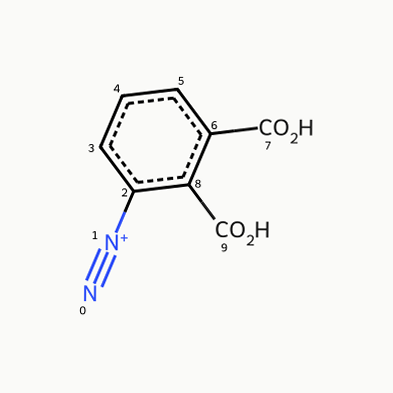 N#[N+]c1cccc(C(=O)O)c1C(=O)O